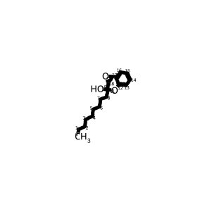 CCCCCCCCCC(O)(Oc1ccccc1)C1CO1